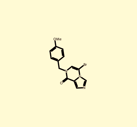 COc1ccc(Cn2cc(Br)n3cncc3c2=O)cc1